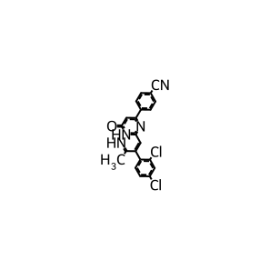 CC(=N)/C(=C\c1nc(-c2ccc(C#N)cc2)cc(=O)[nH]1)c1ccc(Cl)cc1Cl